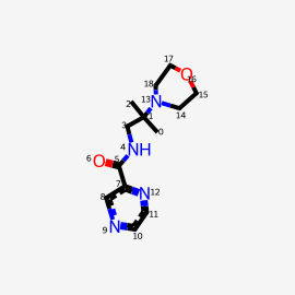 CC(C)(CNC(=O)c1cnccn1)N1CCOCC1